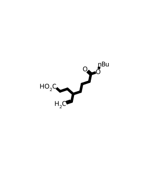 C=CC(CCCC(=O)OCCCC)CCC(=O)O